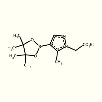 CCOC(=O)Cn1ncc(B2OC(C)(C)C(C)(C)O2)c1C